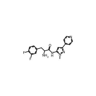 Cn1nc(-c2ccncc2)cc1NC(=O)C(N)Cc1ccc(F)c(F)c1